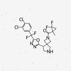 CC1(C(=O)N2CC3(CNCC3c3nnc(C(F)(F)c4ccc(Cl)c(Cl)c4)o3)C2)CC1(F)F